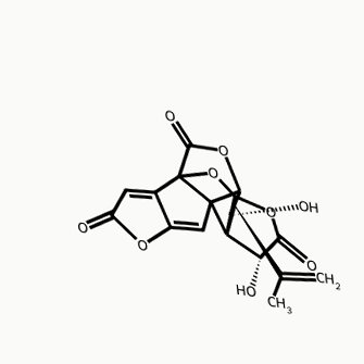 C=C(C)[C@@H]1[C@@H](O)C2OC(=O)C34OC5OC(=O)[C@H](O)C51C23C=C1OC(=O)C=C14